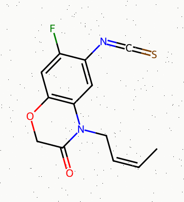 C/C=C\CN1C(=O)COc2cc(F)c(N=C=S)cc21